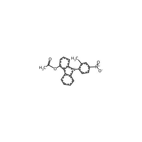 CC(=O)Oc1cccc2c1c1ccccc1n2-c1ccc([N+](=O)[O-])cc1C